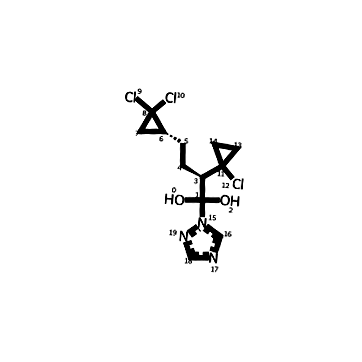 OC(O)([C@@H](CC[C@@H]1CC1(Cl)Cl)C1(Cl)CC1)n1cncn1